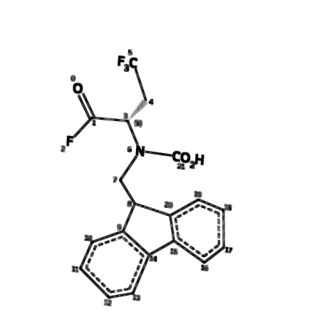 O=C(F)[C@H](CC(F)(F)F)N(CC1c2ccccc2-c2ccccc21)C(=O)O